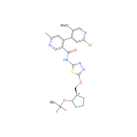 COc1cnc(Cl)cc1-c1cc(C)ncc1C(=O)Nc1nnc(OC[C@H]2CCCC2O[Si](C)(C)C(C)(C)C)s1